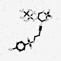 Cc1ccc(S(=O)(=O)OCCC#C[C@H]2NS(=O)(=O)OC[C@H]2O[Si](C)(C)C(C)(C)C)cc1